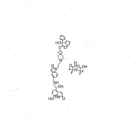 O=C(O)C(F)(F)F.O=C(O)C(F)(F)F.O=C(OC1CC2(CCN(CCCn3c(=O)sc4cc(CNC[C@H](O)c5ccc(O)c6[nH]c(=O)ccc56)ccc43)CC2)C1)C(O)(c1cccs1)c1cccs1